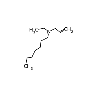 C=CCN(CC)CCCCCCC